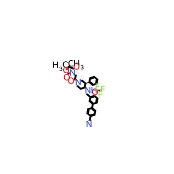 CC1(C)OC(=O)N(CC(=O)N2CC[C@H](NCc3cc(-c4ccc(C#N)cc4)ccc3OC(F)(F)F)[C@H](c3ccccc3)C2)C1=O